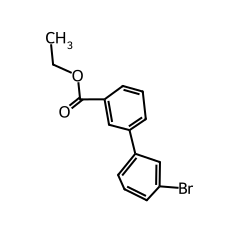 CCOC(=O)c1cccc(-c2cccc(Br)c2)c1